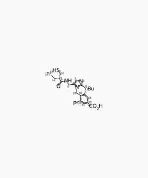 CCCCc1ncc(CNC(=O)[C@H](CS)CC(C)C)n1Cc1ccc(C(=O)O)cc1F